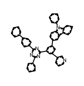 c1ccc(-c2ccc(-c3nc(-c4ccccc4)nc(-c4cc(-c5cccnc5)cc(-c5ccc6c(c5)c5ccccc5n6-c5ccccc5)c4)n3)cc2)cc1